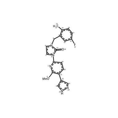 COc1nc(-n2ccn(Cc3cc(F)ccc3C)c2=O)ccc1-c1cn[nH]c1